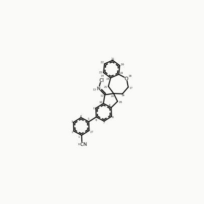 N#Cc1cccc(-c2ccc3c(c2)/C(=N/Cl)C2(CCOc4ccccc4C2)C3)c1